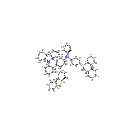 c1ccc(N(c2ccc(-c3cc4ccccc4c4ccccc34)cc2)c2ccc(-c3ccccc3-n3c4ccccc4c4ccccc43)c(-c3ccc4sc5ccccc5c4c3)c2)cc1